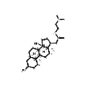 CN(C)CCON(C)CC1CC[C@@]2(O)[C@@H]3CCC4CC(O)CC[C@]4(C)[C@@H]3CC[C@]12C